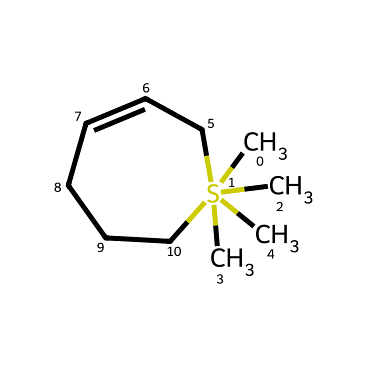 CS1(C)(C)(C)CC=CCCC1